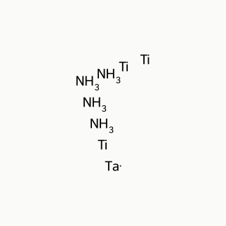 N.N.N.N.[Ta].[Ti].[Ti].[Ti]